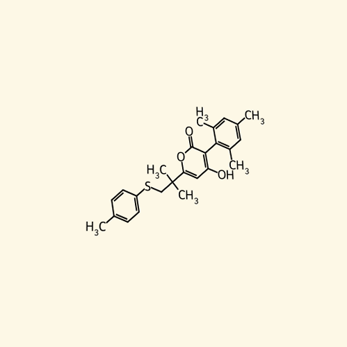 Cc1ccc(SCC(C)(C)c2cc(O)c(-c3c(C)cc(C)cc3C)c(=O)o2)cc1